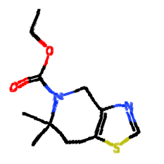 CCOC(=O)N1Cc2ncsc2CC1(C)C